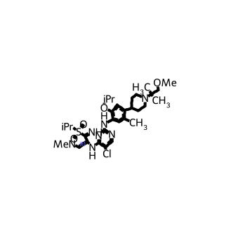 CN/C=C(/Nc1nc(Nc2cc(C)c(C3CCN(C(C)(C)COC)CC3)cc2OC(C)C)ncc1Cl)C(=N)S(=O)(=O)C(C)C